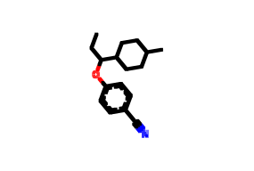 CCC(Oc1ccc(C#N)cc1)C1CCC(C)CC1